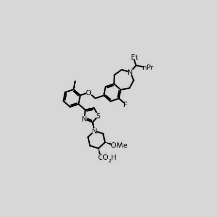 CCCC(CC)N1CCc2cc(COc3c(C)cccc3-c3csc(N4CC[C@H](C(=O)O)[C@H](OC)C4)n3)cc(F)c2CC1